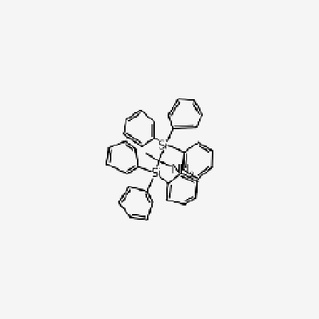 CC(N)([Si](c1ccccc1)(c1ccccc1)c1ccccc1)[Si](c1ccccc1)(c1ccccc1)c1ccccc1